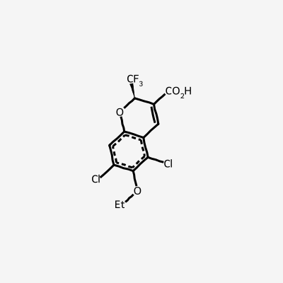 CCOc1c(Cl)cc2c(c1Cl)C=C(C(=O)O)[C@H](C(F)(F)F)O2